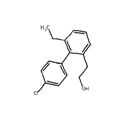 CCc1cccc(CCO)c1-c1ccc(Cl)cc1